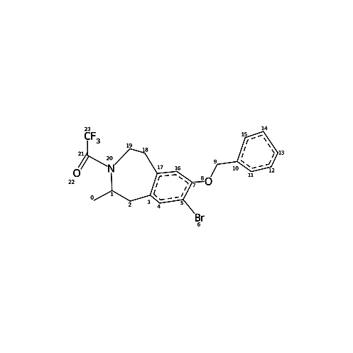 CC1Cc2cc(Br)c(OCc3ccccc3)cc2CCN1C(=O)C(F)(F)F